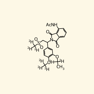 [2H]C([2H])([2H])Oc1ccc(C(CS(=O)(=O)C([2H])([2H])[2H])N2C(=O)c3cccc(NC(C)=O)c3C2=O)cc1OC([2H])([2H])C